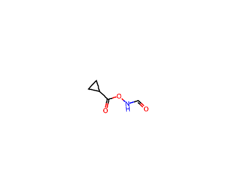 O=CNOC(=O)C1CC1